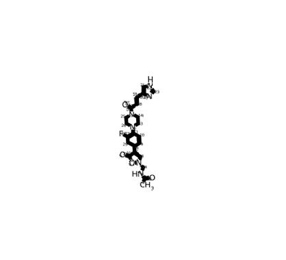 CC(=O)NCn1cc(-c2ccc(N3CCN(C(=O)C=Cc4c[nH]cn4)CC3)c(F)c2)c(=O)o1